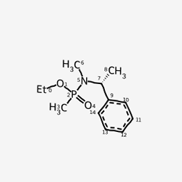 CCOP(C)(=O)N(C)[C@H](C)c1ccccc1